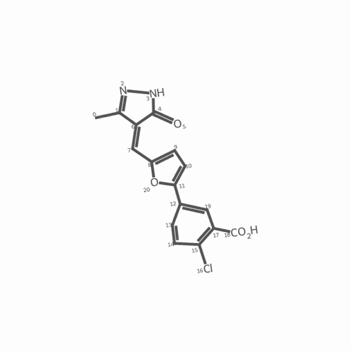 CC1=NNC(=O)/C1=C\c1ccc(-c2ccc(Cl)c(C(=O)O)c2)o1